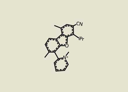 Cc1ccc2c(oc3c(C(C)C)c(C#N)cc(C)c32)c1-c1cccc[n+]1C